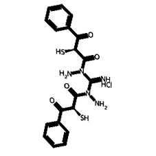 Cl.N=C(N(N)C(=O)[C@@H](S)C(=O)c1ccccc1)N(N)C(=O)[C@@H](S)C(=O)c1ccccc1